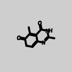 CC1=c2c(nc(C)[nH]c2=O)=CCC1=O